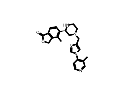 Cc1cnccc1-n1cnc(CN2CCN[C@H](c3ccc4c(c3C)COC4=O)C2)c1